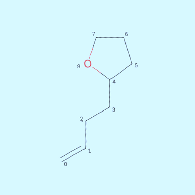 C=C[CH]CC1CCCO1